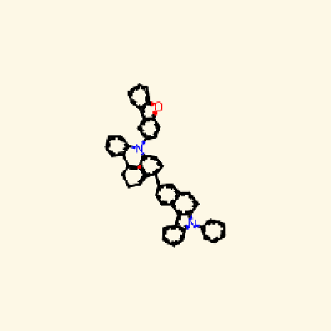 C1=CCCC(c2ccccc2N(c2ccc(-c3ccc4c(ccc5c4c4ccccc4n5-c4ccccc4)c3)cc2)c2ccc3oc4ccccc4c3c2)=C1